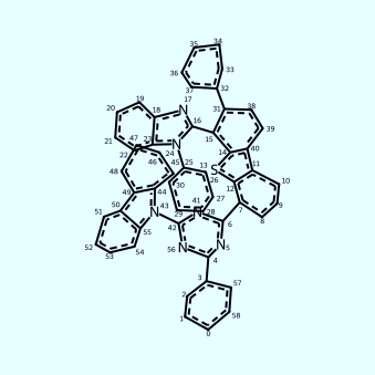 c1ccc(-c2nc(-c3cccc4c3sc3c(-c5nc6ccccc6n5-c5ccccc5)c(-c5ccccc5)ccc34)nc(-n3c4ccccc4c4ccccc43)n2)cc1